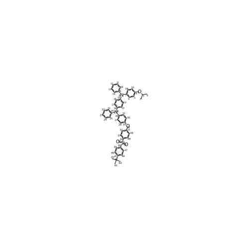 CC(C)Oc1ccc(N(c2ccccc2)c2ccc(N(c3ccccc3)c3ccc(Oc4ccc(S(=O)(=O)c5ccc(C(C)(C)C)cc5)cc4)cc3)cc2)cc1